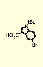 CC(C)(C)n1cc(C(=O)O)c2cc(Br)ccc21